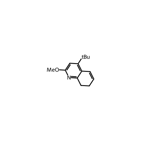 COc1cc(C(C)(C)C)c2c(n1)CCC=C2